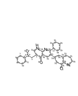 O=c1c(C[S+]([O-])c2ccccc2)c[nH]c2nc(-c3ccccc3)c(-c3cc(Cl)c4ncccc4c3)cc12